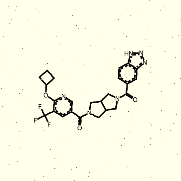 O=C(c1cnc(OC2CCC2)c(C(F)(F)F)c1)N1CC2CN(C(=O)c3ccc4[nH]nnc4c3)CC2C1